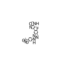 Cc1c(-c2cc3nc(Nc4ccc(C(C)S(C)(=O)=O)cc4)ncc3cc2F)cnc2c1NCCO2